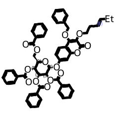 CC/C=C/CCOc1c(OCc2ccccc2)c2ccc(O[C@H]3O[C@H](COC(=O)c4ccccc4)[C@@H](OC(=O)c4ccccc4)[C@H](OC(=O)c4ccccc4)[C@@H]3OC(=O)c3ccccc3)cc2oc1=O